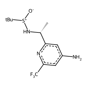 C[C@@H](N[S+]([O-])C(C)(C)C)c1cc(N)cc(C(F)(F)F)n1